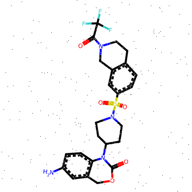 Nc1ccc2c(c1)COC(=O)N2C1CCN(S(=O)(=O)c2ccc3c(c2)CN(C(=O)C(F)(F)F)CC3)CC1